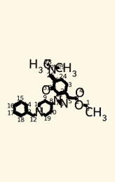 CCOC(=O)c1nn(C2CCN(Cc3ccccc3)CC2)c2c1CCC(=CN(C)C)C2=O